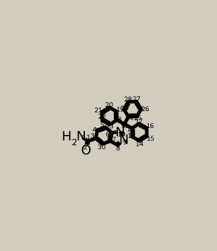 NC(=O)c1ccc2c(cnn2C(c2ccccc2)(c2ccccc2)c2ccccc2)c1